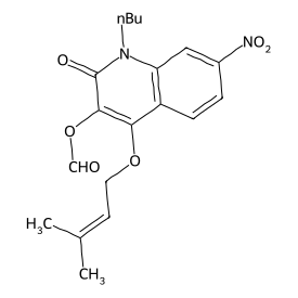 CCCCn1c(=O)c(OC=O)c(OCC=C(C)C)c2ccc([N+](=O)[O-])cc21